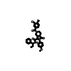 CCC(NC(=O)c1c2n(c(=O)n1-c1ccc(OC)cc1)CCN(C(=O)c1ccc(Br)c(Cl)c1)C2)c1ccccc1